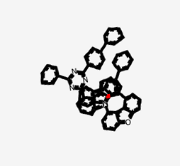 c1ccc(-c2ccc(-c3nc(-c4ccccc4)nc(-c4cccc5oc6c(-c7cccc8oc9cccc(-n%10c%11ccccc%11c%11cc(-c%12ccccc%12)ccc%11%10)c9c78)cccc6c45)n3)cc2)cc1